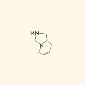 C1=CCN2CNCC2C1